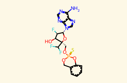 Nc1ncnc2c1ncn2[C@@H]1O[C@@](COP2(=S)OCc3ccccc3O2)(C(F)F)[C@@H](O)[C@H]1F